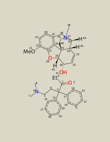 CCC(=O)C(CCN(C)C)(c1ccccc1)c1ccccc1.COc1ccc2c3c1O[C@H]1[C@@H](O)C=C[C@H]4[C@@H](C2)N(C)CC[C@@]341